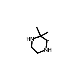 CC1(C)[CH]NCCN1